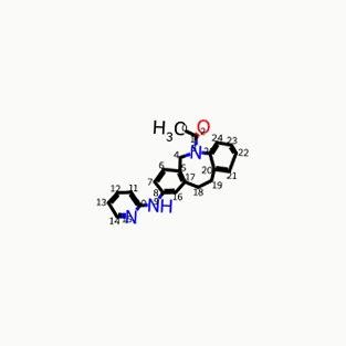 CC(=O)N1Cc2ccc(Nc3ccccn3)cc2CCc2ccccc21